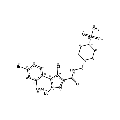 CCn1nc(C(=O)NC[C@H]2CC[C@@H](S(C)(=O)=O)CC2)c(Cl)c1-c1ccc(Br)cc1OC